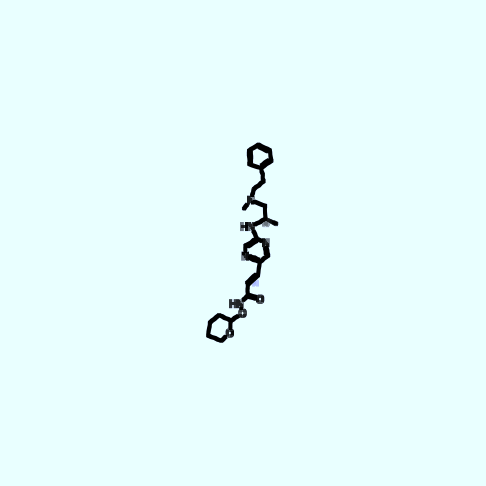 C[C@H](CN(C)CCc1ccccc1)Nc1cnc(/C=C/C(=O)NOC2CCCCO2)cn1